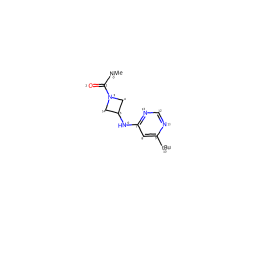 CNC(=O)N1CC(Nc2cc(C(C)(C)C)ncn2)C1